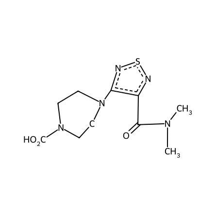 CN(C)C(=O)c1nsnc1N1CCN(C(=O)O)CC1